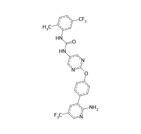 Cc1ccc(C(F)(F)F)cc1NC(=O)Nc1cnc(Oc2ccc(-c3cc(C(F)(F)F)cnc3N)cc2)nc1